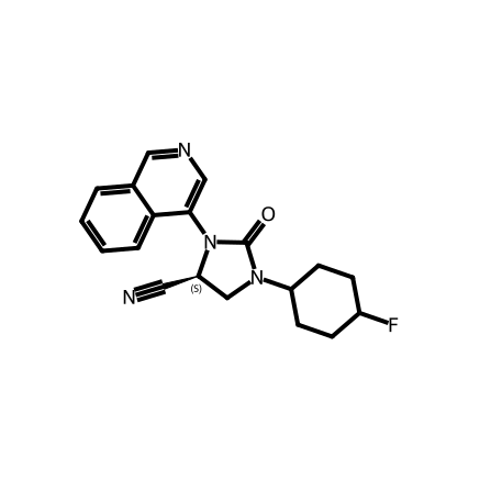 N#C[C@@H]1CN(C2CCC(F)CC2)C(=O)N1c1cncc2ccccc12